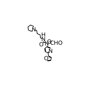 O=CON(C(=O)NCCCCN1CCCCC1)c1ccc(-c2ccco2)nc1